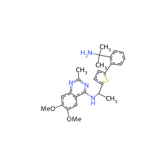 COc1cc2nc(C)nc(NC(C)c3ccc(-c4ccccc4C(C)(C)N)s3)c2cc1OC